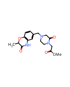 COC(=O)CN1CCN(Cc2ccc3c(c2)NC(=O)C(C)O3)CC1=O